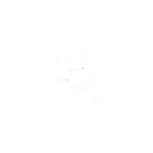 CC(C)(C)C1=CC(=O)N(O)C(=O)C1